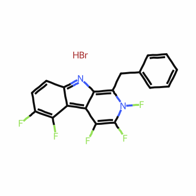 Br.Fc1ccc2nc3c(Cc4ccccc4)n(F)c(F)c(F)c-3c2c1F